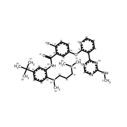 CNc1ncnc(-c2cccnc2Oc2ccc(F)c(C(=O)Nc3cc(C(C)(C)C)ccc3N(C)CCCN(C)C)c2)n1